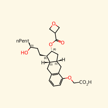 CCCCC[C@H](O)CC[C@@H]1[C@H]2Cc3cccc(OCC(=O)O)c3C[C@H]2C[C@H]1OC(=O)C1COC1